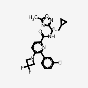 Cc1nc([C@H](CC2CC2)NC(=O)c2ccc(N3CC(F)(F)C3)c(-c3cccc(Cl)c3)n2)no1